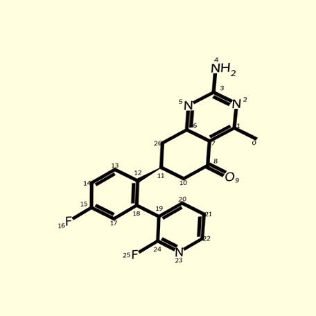 Cc1nc(N)nc2c1C(=O)C[C@@H](c1ccc(F)cc1-c1cccnc1F)C2